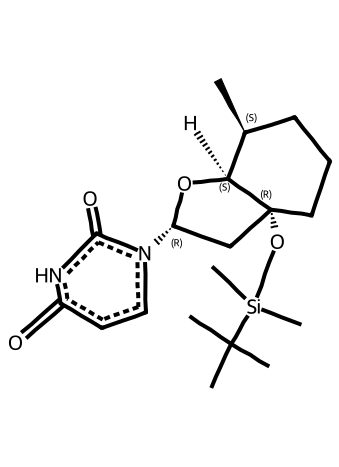 C[C@H]1CCC[C@@]2(O[Si](C)(C)C(C)(C)C)C[C@H](n3ccc(=O)[nH]c3=O)O[C@@H]12